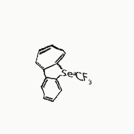 FC(F)(F)[se+]1c2ccccc2c2ccccc21